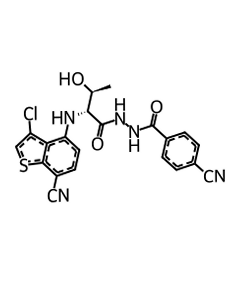 C[C@H](O)[C@@H](Nc1ccc(C#N)c2scc(Cl)c12)C(=O)NNC(=O)c1ccc(C#N)cc1